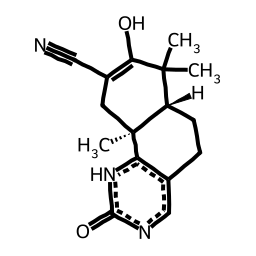 CC1(C)C(O)=C(C#N)C[C@]2(C)c3[nH]c(=O)ncc3CC[C@@H]12